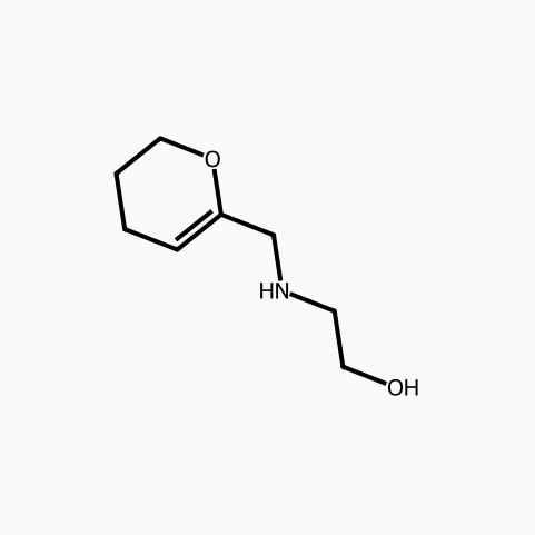 OCCNCC1=CCCCO1